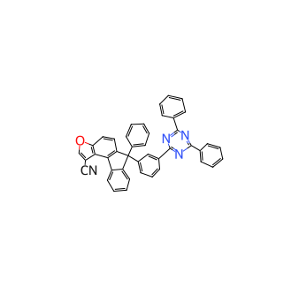 N#Cc1coc2ccc3c(c12)-c1ccccc1C3(c1ccccc1)c1cccc(-c2nc(-c3ccccc3)nc(-c3ccccc3)n2)c1